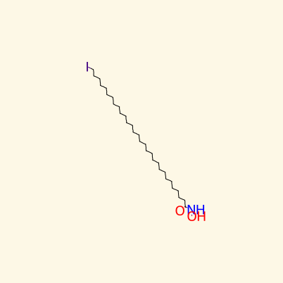 O=C(CCCCCCCCCCCCCCCCCCCCCCCCCCCCCI)NO